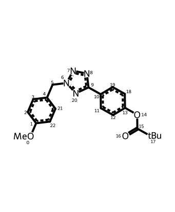 COc1ccc(Cn2nnc(-c3ccc(OC(=O)C(C)(C)C)cc3)n2)cc1